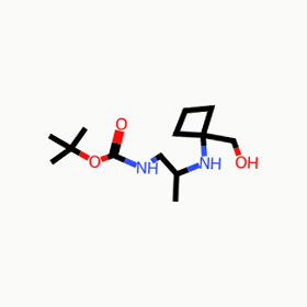 CC(CNC(=O)OC(C)(C)C)NC1(CO)CCC1